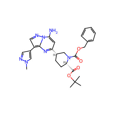 Cn1cc(-c2cnn3c(N)cc([C@H]4CC[C@@H](C(=O)OC(C)(C)C)N(C(=O)OCc5ccccc5)C4)nc23)cn1